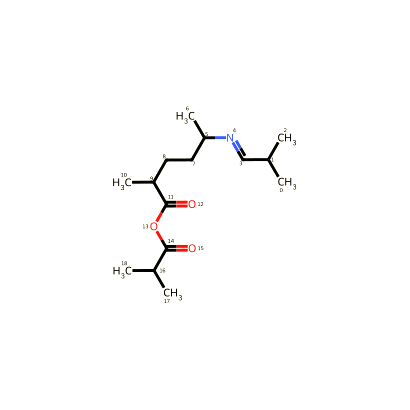 CC(C)/C=N/C(C)CCC(C)C(=O)OC(=O)C(C)C